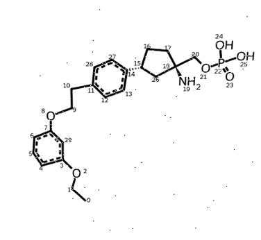 CCOc1cccc(OCCc2ccc([C@@H]3CC[C@](N)(COP(=O)(O)O)C3)cc2)c1